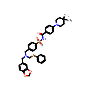 CC1(C)CCN(c2ccc(C(=O)NS(=O)(=O)c3ccc(CN(CSc4ccccc4)Cc4ccc5c(c4)OCO5)cc3)cc2)CC1